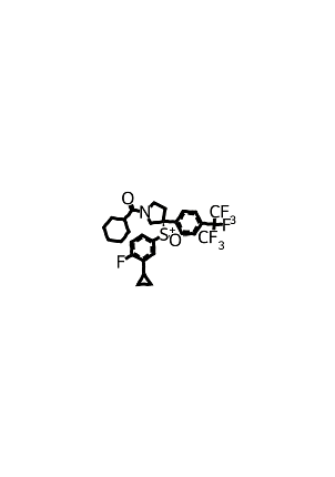 O=C(C1CCCCC1)N1CC[C@](c2ccc(C(F)(C(F)(F)F)C(F)(F)F)cc2)([S+]([O-])c2ccc(F)c(C3CC3)c2)C1